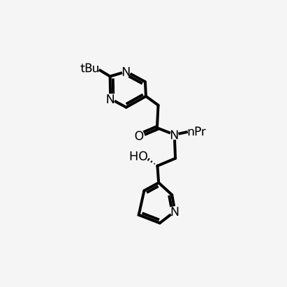 CCCN(C[C@@H](O)c1cccnc1)C(=O)Cc1cnc(C(C)(C)C)nc1